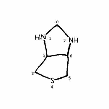 [CH]1NC2CSCC2N1